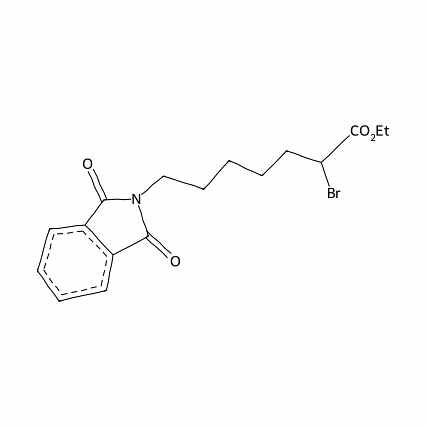 CCOC(=O)C(Br)CCCCCN1C(=O)c2ccccc2C1=O